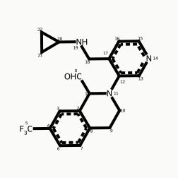 O=CC1c2cc(C(F)(F)F)ccc2CCN1c1cnccc1CNC1CC1